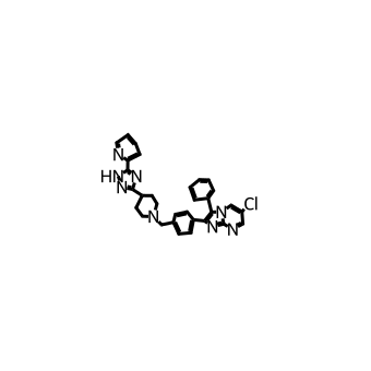 Clc1cnc2nc(-c3ccc(CN4CCC(c5n[nH]c(-c6ccccn6)n5)CC4)cc3)c(-c3ccccc3)n2c1